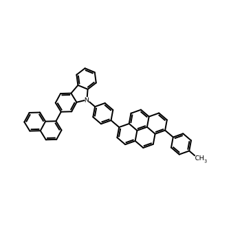 Cc1ccc(-c2ccc3ccc4c(-c5ccc(-n6c7ccccc7c7ccc(-c8cccc9ccccc89)cc76)cc5)ccc5ccc2c3c54)cc1